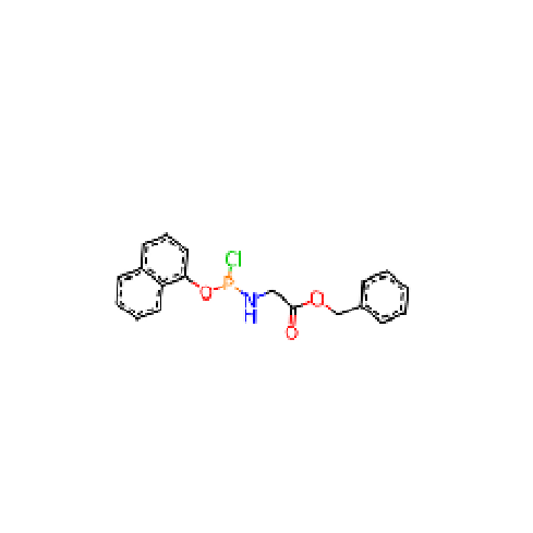 O=C(CNP(Cl)Oc1cccc2ccccc12)OCc1ccccc1